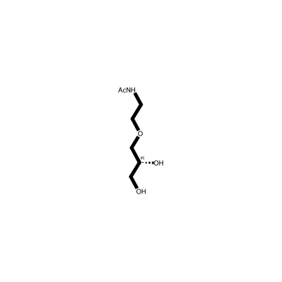 CC(=O)NCCOC[C@H](O)CO